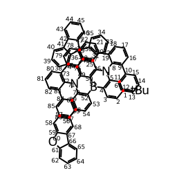 CC(C)(C)c1ccc2c(c1)N(c1c(-c3ccccc3)cccc1-c1ccccc1)c1cc(C3(c4ccccc4)c4ccccc4-c4ccccc43)cc3c1B2c1ccc(-c2ccc4oc5ccccc5c4c2)cc1N3c1c(-c2ccccc2)cccc1-c1ccccc1